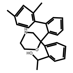 Cc1ccc(-c2ccccc2C2(c3ccccc3C(C)O)CNCCO2)c(C)c1